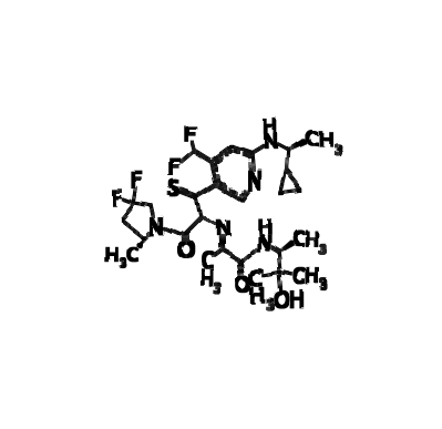 C/C(=N\C(C(=O)N1CC(F)(F)C[C@@H]1C)C(=S)c1cnc(N[C@@H](C)C2CC2)cc1C(F)F)C(=O)N[C@@H](C)C(C)(C)O